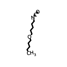 CCCCCOCCCCCN=C=O